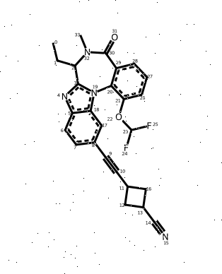 CCC1c2nc3ccc(C#CC4CC(C#N)C4)cc3n2-c2c(OC(F)F)cccc2C(=O)N1C